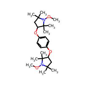 CON1C(C)(C)CC(Oc2ccc(OC3CC(C)(C)N(OC)C3(C)C)cc2)C1(C)C